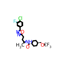 C=C(CCc1nnc(-c2ccc(Cl)c(F)c2)o1)NC(=O)[C@H]1CC[C@H](COC(F)(F)F)CC1